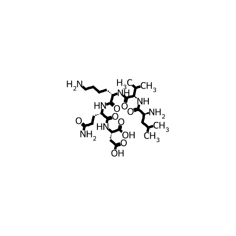 CC(C)C[C@H](N)C(=O)N[C@H](C(=O)N[C@@H](CCCCN)C(=O)N[C@@H](CCC(N)=O)C(=O)N[C@@H](CC(=O)O)C(=O)O)C(C)C